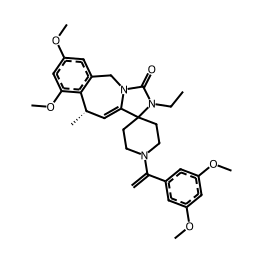 C=C(c1cc(OC)cc(OC)c1)N1CCC2(CC1)C1=C[C@H](C)c3c(cc(OC)cc3OC)CN1C(=O)N2CC